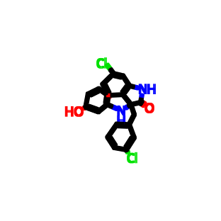 O=C1Nc2cc(Cl)ccc2C1(Cc1cccc(Cl)c1)Nc1cccc(O)c1